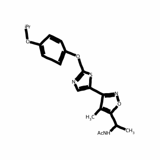 CC(=O)NC(C)c1onc(-c2cnc(Oc3ccc(OC(C)C)cc3)s2)c1C